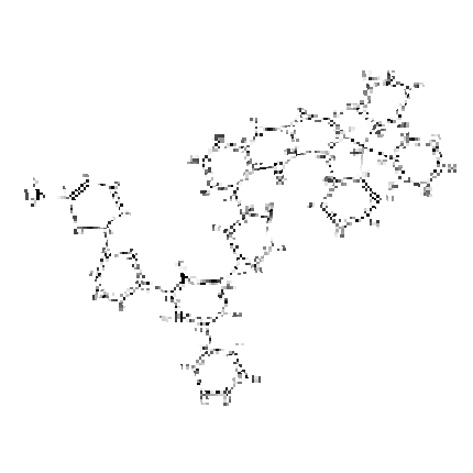 NC1=CC=CC(c2cccc(-c3nc(-c4ccccc4)cc(-c4cccc(-c5cccc6c5Oc5c(ccc7c5-c5ccccc5C7(c5ccccc5)c5ccccc5)O6)c4)n3)c2)C1